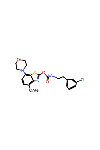 COc1ccc(N2CCOCC2)c2sc(OC(=O)NCCc3cccc(Cl)c3)nc12